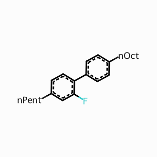 CCCCCCCCc1ccc(-c2ccc(CCCCC)cc2F)cc1